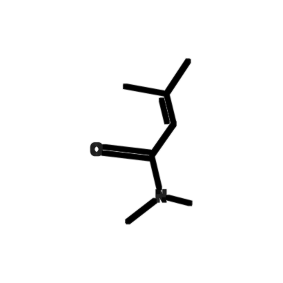 CC(C)=CC(=O)N(C)C